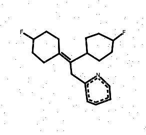 FC1CCC(=C(Cc2ccccn2)C2CCC(F)CC2)CC1